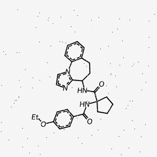 CCOc1ccc(C(=O)NC2(C(=O)NC3CCc4ccccc4-n4ccnc43)CCCC2)cc1